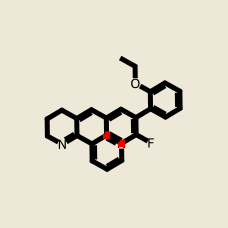 CCOc1ccccc1-c1cc(/C=C2/CCCN=C2c2cccnc2)ccc1F